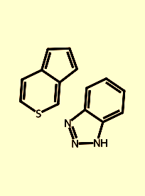 c1cc2ccscc-2c1.c1ccc2[nH]nnc2c1